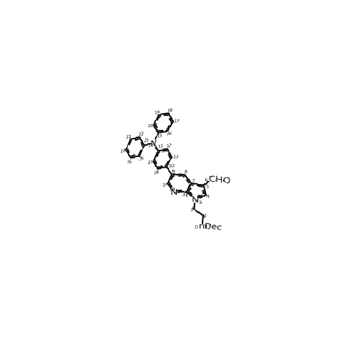 CCCCCCCCCCCCn1cc(C=O)c2cc(-c3ccc(N(c4ccccc4)c4ccccc4)cc3)cnc21